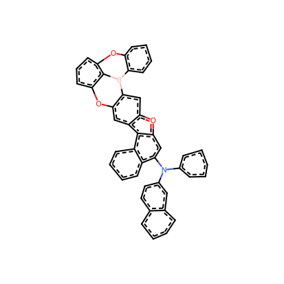 c1ccc(N(c2ccc3ccccc3c2)c2cc3oc4cc5c(cc4c3c3ccccc23)Oc2cccc3c2B5c2ccccc2O3)cc1